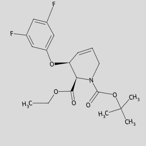 CCOC(=O)[C@H]1[C@@H](Oc2cc(F)cc(F)c2)C=CCN1C(=O)OC(C)(C)C